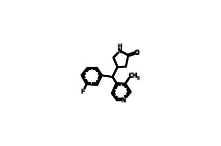 Cc1cnccc1C(c1cccc(F)c1)C1CNC(=O)C1